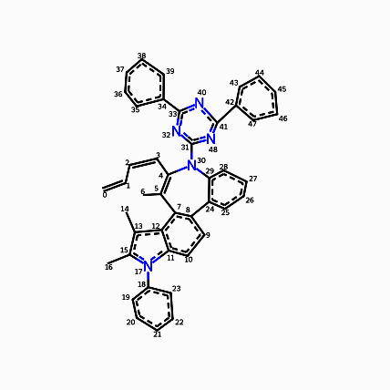 C=C/C=C\C1=C(C)c2c(ccc3c2c(C)c(C)n3-c2ccccc2)-c2ccccc2N1c1nc(-c2ccccc2)nc(-c2ccccc2)n1